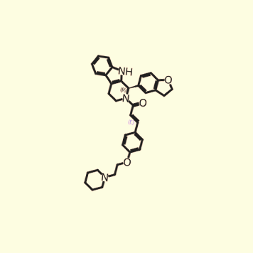 O=C(/C=C/c1ccc(OCCN2CCCCC2)cc1)N1CCc2c([nH]c3ccccc23)[C@H]1c1ccc2c(c1)CCO2